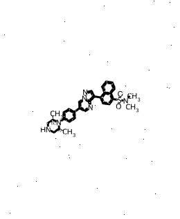 C[C@@H]1CNC[C@H](C)N1c1ccc(-c2cnc3c(-c4ccc(S(=O)(=O)N(C)C)c5ccccc45)cnn3c2)cc1